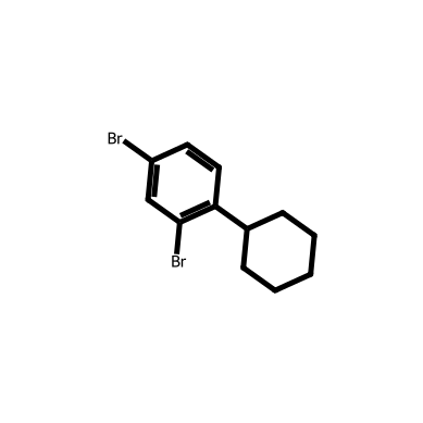 Brc1ccc(C2CCCCC2)c(Br)c1